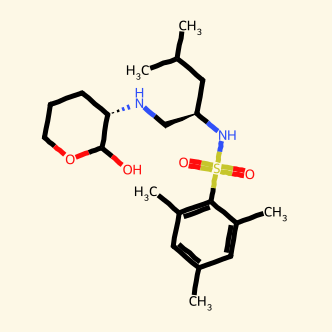 Cc1cc(C)c(S(=O)(=O)N[C@@H](CN[C@H]2CCCOC2O)CC(C)C)c(C)c1